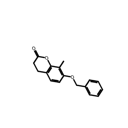 Cc1c(OCc2ccccc2)ccc2c1OC(=O)CC2